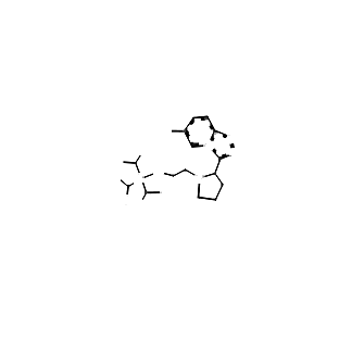 CC(C)[Si](OCCN1CCCC1c1nnc2ccc(F)cn12)(C(C)C)C(C)C